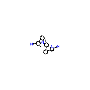 CC1CC(C#N)=CC2=C1N(C1=CC(C3=CCCC=C3c3ccc(C#N)nc3)=CCC1)[C@@H]1C=CC=CC21